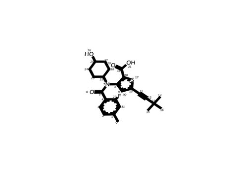 Cc1ccc(C(=O)N(c2cc(C#CC(C)(C)C)sc2C(=O)O)C2CCC(O)CC2)c(F)c1